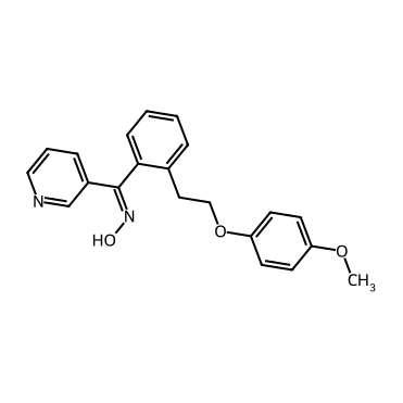 COc1ccc(OCCc2ccccc2C(=NO)c2cccnc2)cc1